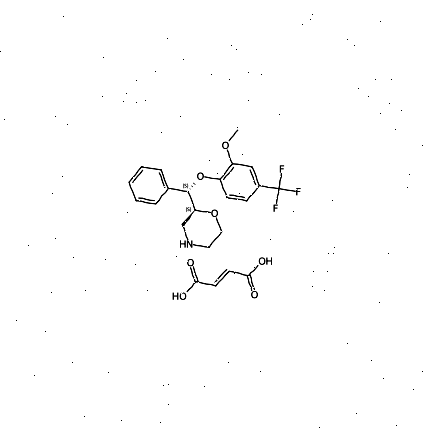 COc1cc(C(F)(F)F)ccc1O[C@@H](c1ccccc1)[C@@H]1CNCCO1.O=C(O)C=CC(=O)O